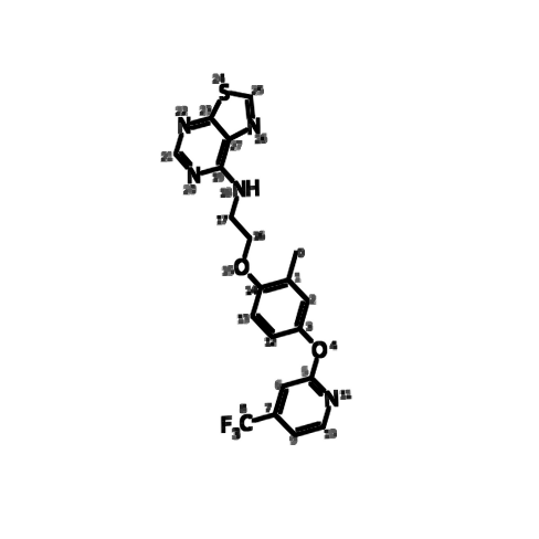 Cc1cc(Oc2cc(C(F)(F)F)ccn2)ccc1OCCNc1ncnc2scnc12